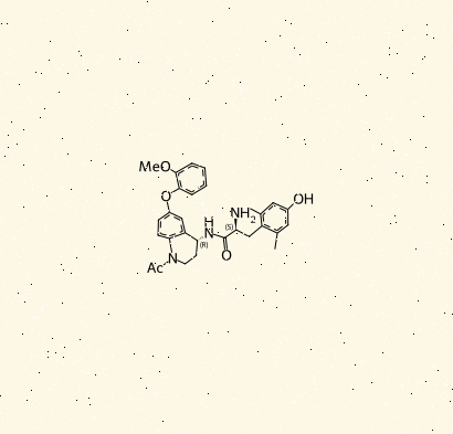 COc1ccccc1Oc1ccc2c(c1)[C@H](NC(=O)[C@@H](N)Cc1c(C)cc(O)cc1C)CCN2C(C)=O